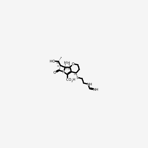 C[C@@H](O)[C@H]1C(=O)N2C(C(=O)O)=C3[C@@H](SCCNC=N)CCO[C@@H]3[C@H]12